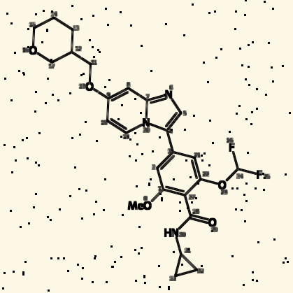 COc1cc(-c2cnc3cc(OCC4CCCOC4)ccn23)cc(OC(F)F)c1C(=O)NC1CC1